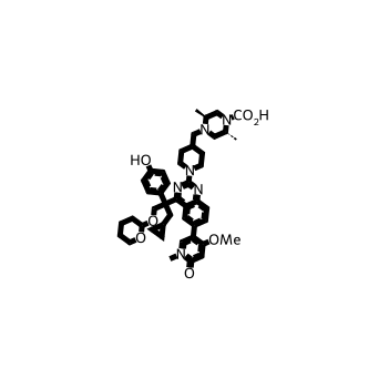 COc1cc(=O)n(C)cc1-c1ccc2nc(N3CCC(CN4C[C@@H](C)N(C(=O)O)C[C@@H]4C)CC3)nc(C(COC3CCCCO3)(CC3CC3)c3ccc(O)cc3)c2c1